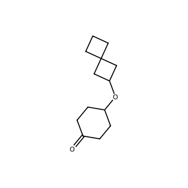 O=C1CCC(OC2CC3(CCC3)C2)CC1